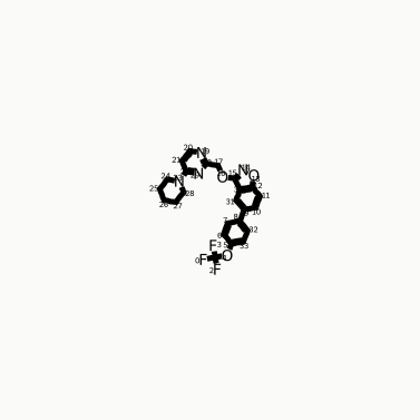 FC(F)(F)Oc1ccc(-c2ccc3onc(OCc4nccc(N5CCCCC5)n4)c3c2)cc1